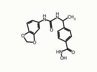 CC(NC(=O)Nc1ccc2c(c1)OCO2)c1ccc(C(=O)NO)cc1